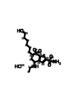 CCNC1CN(CCCCCCO)S(=O)(=O)c2sc(S(N)(=O)=O)cc21.Cl